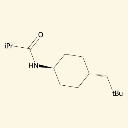 CC(C)C(=O)N[C@H]1CC[C@H](CC(C)(C)C)CC1